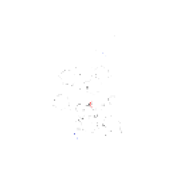 COc1cc2c3c(c4c(c2cc1N1CCCCC1)-c1ccccc1C4(c1ccccc1)c1ccccc1)OC(c1ccccc1)(c1ccc(N(C)C)cc1)C=C3